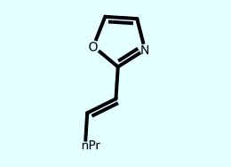 [CH2]CCC=Cc1ncco1